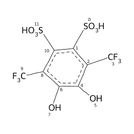 O=S(=O)(O)c1c(C(F)(F)F)c(O)c(O)c(C(F)(F)F)c1S(=O)(=O)O